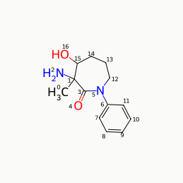 CC1(N)C(=O)N(c2ccccc2)CCCC1O